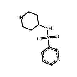 O=S(=O)(NC1CCNCC1)c1cccnn1